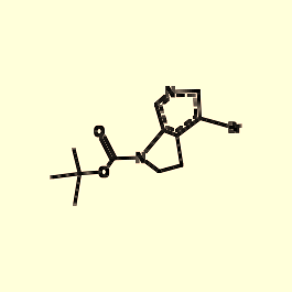 CC(C)(C)OC(=O)N1CCc2c(Br)cncc21